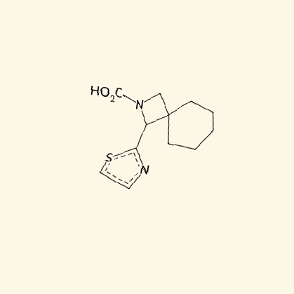 O=C(O)N1CC2(CCCCC2)C1c1nccs1